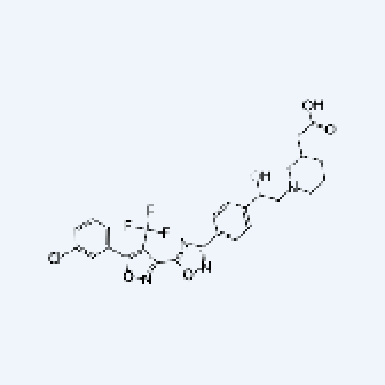 O=C(O)CC1CCCN(CC(O)c2ccc(-c3noc(-c4noc(-c5cccc(Cl)c5)c4C(F)(F)F)n3)cc2)C1